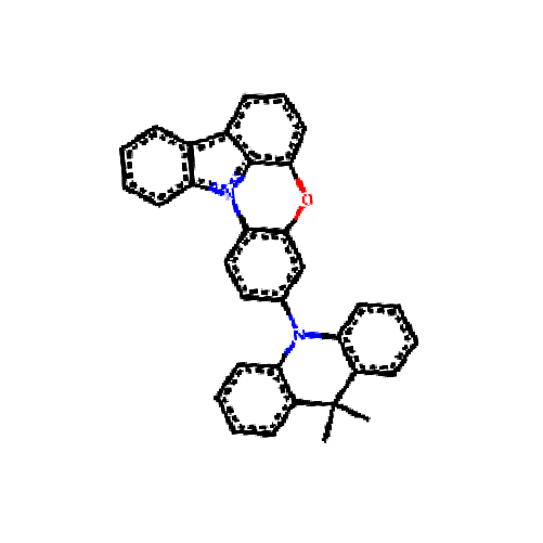 CC1(C)c2ccccc2N(c2ccc3c(c2)Oc2cccc4c5ccccc5n-3c24)c2ccccc21